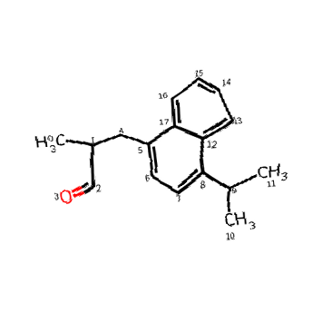 CC(C=O)Cc1ccc(C(C)C)c2ccccc12